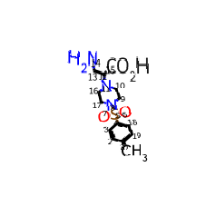 Cc1ccc(S(=O)(=O)N2CCN(C(CN)C(=O)O)CC2)cc1